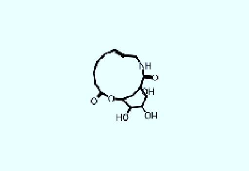 O=C1CCCC/C=C/CNC(=O)[C@@]2(O)CC(O1)C(O)[C@H](O)C2